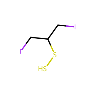 SSC(CI)CI